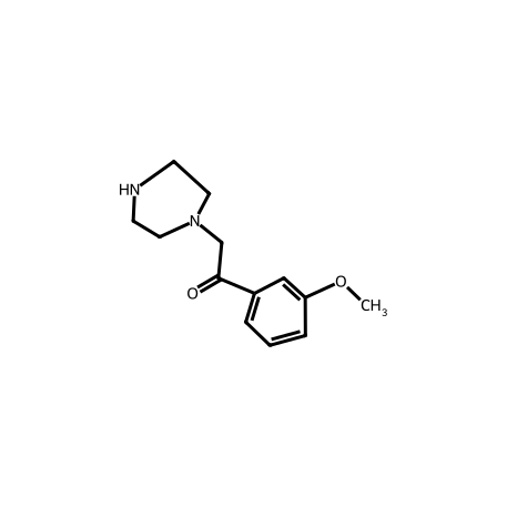 COc1cccc(C(=O)CN2CCNCC2)c1